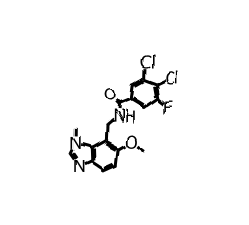 COc1ccc2ncn(C)c2c1CNC(=O)c1cc(F)c(Cl)c(Cl)c1